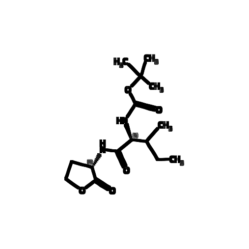 CCC(C)[C@H](NC(=O)OC(C)(C)C)C(=O)N[C@H]1CCOC1=O